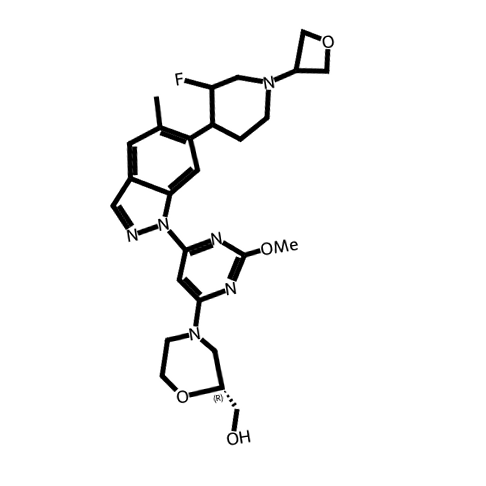 COc1nc(N2CCO[C@@H](CO)C2)cc(-n2ncc3cc(C)c(C4CCN(C5COC5)CC4F)cc32)n1